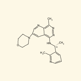 Cc1ncccc1[C@@H](C)Nc1nnc(C)c2ncc(N3CCOCC3)cc12